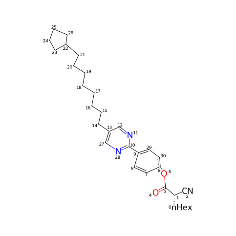 CCCCCC[C@@H](C#N)C(=O)Oc1ccc(-c2ncc(CCCCCCCCC3CCCC3)cn2)cc1